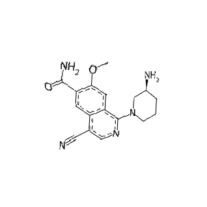 COc1cc2c(N3CCC[C@H](N)C3)ncc(C#N)c2cc1C(N)=O